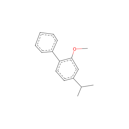 COc1cc(C(C)C)ccc1-c1ccccc1